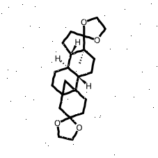 C[C@]12CC[C@H]3[C@@H](CCC45CC6(CCC34C5)OCCO6)[C@@H]1CCC21OCCO1